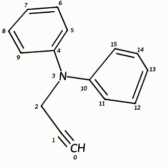 C#CCN(c1ccccc1)c1ccccc1